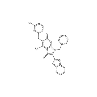 O=c1cc2c(c(C(F)(F)F)n1Cc1cccc(Cl)n1)c(=O)n(-c1nc3ccccc3s1)n2Cc1ccccc1